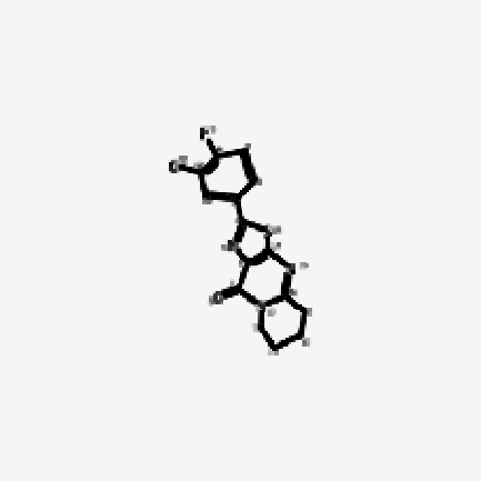 O=c1c2nc(-c3ccc(F)c(Cl)c3)sc2nc2n1CCCC2